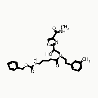 CNC(=O)c1coc(C(O)CN(CCc2cccc(C)c2)C(=O)CCCCNC(=O)OCc2ccccc2)n1